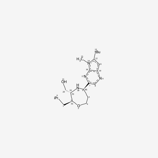 CC(C)C[C@@H]1OCC[C@H](c2cnc3cc(C(C)(C)C)n(C)c3n2)N[C@H]1CO